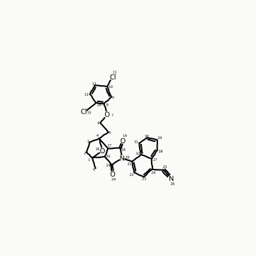 CC12CCC(CCOc3cc(Cl)ccc3Cl)(O1)C1C(=O)N(c3ccc(C#N)c4ccccc34)C(=O)C12